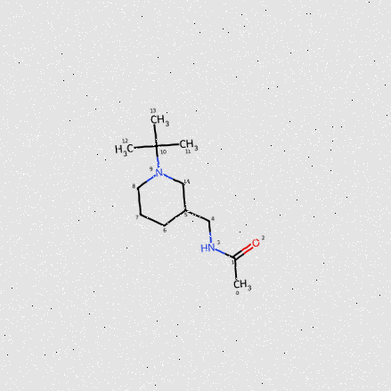 CC(=O)NCC1CCCN(C(C)(C)C)C1